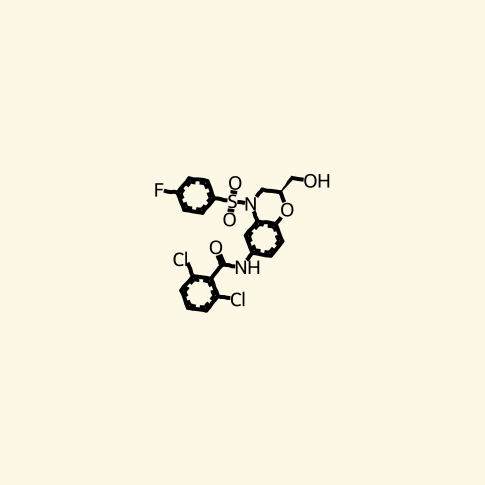 O=C(Nc1ccc2c(c1)N(S(=O)(=O)c1ccc(F)cc1)C[C@@H](CO)O2)c1c(Cl)cccc1Cl